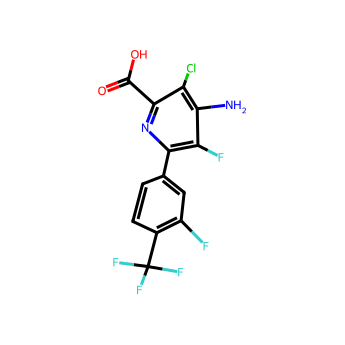 Nc1c(F)c(-c2ccc(C(F)(F)F)c(F)c2)nc(C(=O)O)c1Cl